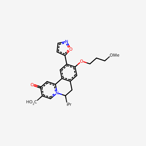 COCCCOc1cc2c(cc1-c1ccno1)-c1cc(=O)c(C(=O)O)cn1C(C(C)C)C2